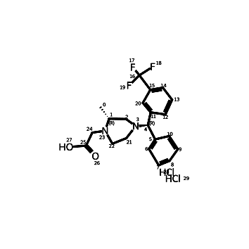 C[C@@H]1CN([C@H](c2ccccc2)c2cccc(C(F)(F)F)c2)CCN1CC(=O)O.Cl.Cl